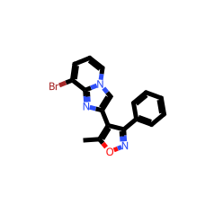 Cc1onc(-c2ccccc2)c1-c1cn2cccc(Br)c2n1